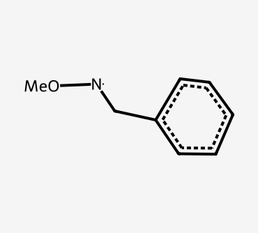 CO[N]Cc1ccccc1